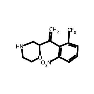 C=C(c1c([N+](=O)[O-])cccc1C(F)(F)F)C1CNCCO1